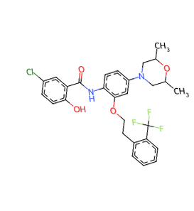 CC1CN(c2ccc(NC(=O)c3cc(Cl)ccc3O)c(OCCc3ccccc3C(F)(F)F)c2)CC(C)O1